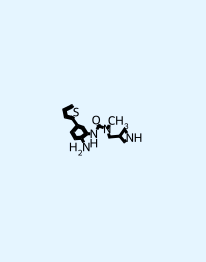 CN(CC1CNC1)C(=O)Nc1cc(-c2cccs2)ccc1N